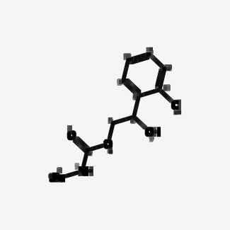 CC(C)(C)NC(=O)OCC(O)c1ccccc1Cl